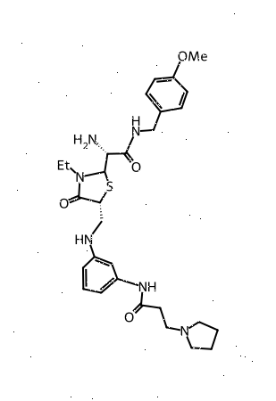 CCN1C(=O)[C@@H](CNc2cccc(NC(=O)CCN3CCCC3)c2)SC1[C@H](N)C(=O)NCc1ccc(OC)cc1